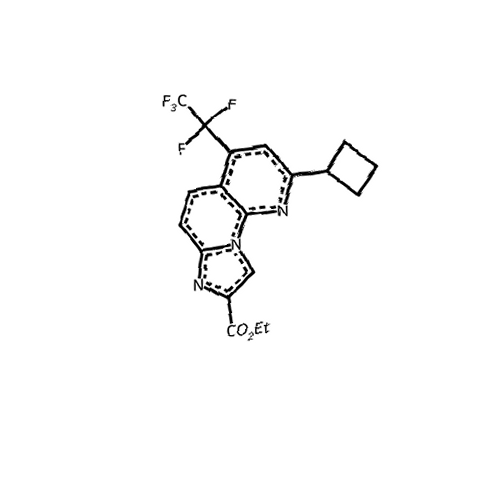 CCOC(=O)c1cn2c(ccc3c(C(F)(F)C(F)(F)F)cc(C4CCC4)nc32)n1